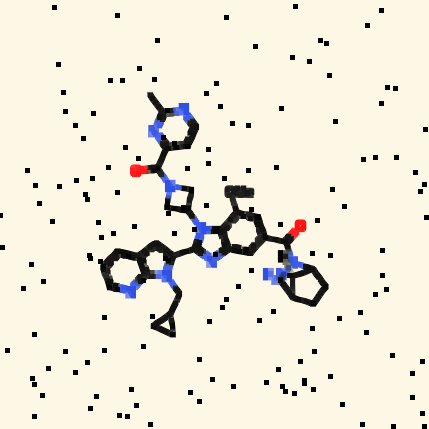 COc1cc(C(=O)N2CC3CCC2[C@@H]3N)cc2nc(-c3cc4cccnc4n3CC3CC3)n(C3CN(C(=O)c4ccnc(C)n4)C3)c12